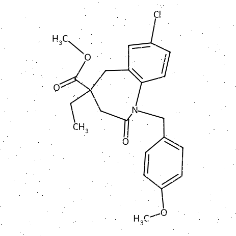 CCC1(C(=O)OC)CC(=O)N(Cc2ccc(OC)cc2)c2ccc(Cl)cc2C1